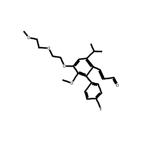 COCCOCCOc1cc(C(C)C)c(C=CC=O)c(-c2ccc(F)cc2)c1OC